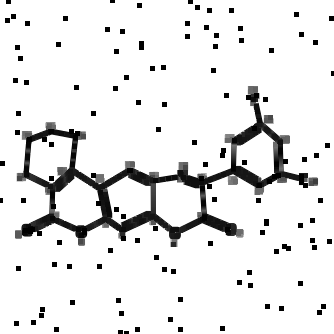 O=c1oc2cc3oc(=O)c4c(c3cc2nc1-c1cc(F)cc(F)c1)CCCC4